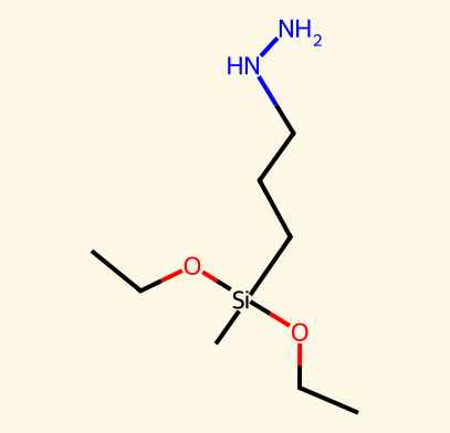 CCO[Si](C)(CCCNN)OCC